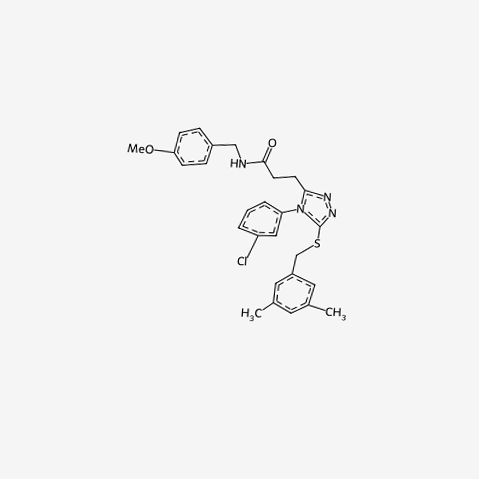 COc1ccc(CNC(=O)CCc2nnc(SCc3cc(C)cc(C)c3)n2-c2cccc(Cl)c2)cc1